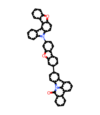 O=c1c2ccccc2c2cccc3c4cc(-c5ccc6c(c5)oc5cc(-n7c8ccccc8c8c9c(ccc87)oc7ccccc79)ccc56)ccc4n1c23